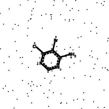 Nc1ncnc(Cl)c1Br